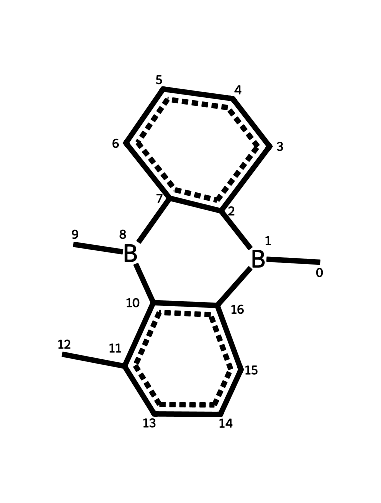 CB1c2ccccc2B(C)c2c(C)cccc21